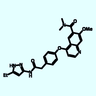 CCc1cc(NC(=O)Cc2ccc(Oc3ccnc4cc(OC)c(C(=O)N(C)C)cc34)cc2)n[nH]1